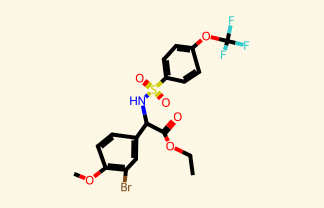 CCOC(=O)C(NS(=O)(=O)c1ccc(OC(F)(F)F)cc1)c1ccc(OC)c(Br)c1